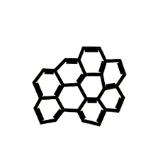 c1cc2ccc3cc4ccc5ccc6ccc7ccc8c(c1)c2c3c1c4c5c6c7c81